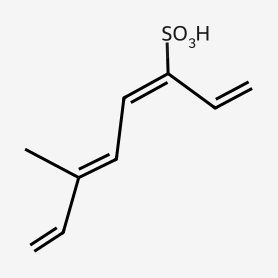 C=C/C(C)=C/C=C(\C=C)S(=O)(=O)O